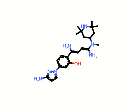 CN(/C(N)=C/C=C(\N)c1ccc(-n2ccc(N)n2)cc1O)C1CC(C)(C)NC(C)(C)C1